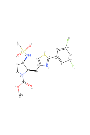 CCS(=O)(=O)N[C@@H]1CCN(C(=O)OC(C)(C)C)[C@@H]1Cc1csc(-c2cc(F)cc(F)c2)n1